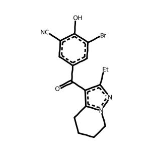 CCc1nn2c(c1C(=O)c1cc(Br)c(O)c(C#N)c1)CCCC2